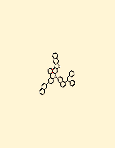 c1ccc(-c2cc(-c3ccc4ccccc4c3)ccc2N(c2ccc3c(-c4cc5ccccc5c5ccccc45)cccc3c2)c2ccc3c(c2)oc2cc4ccccc4cc23)cc1